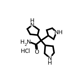 Cl.NC(=O)C(C1CCNC1)(C1CCNC1)C1CCNC1